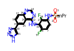 CCCS(=O)(=O)Nc1ccc(F)c(Nc2ncnc3ccc(-c4c[nH]nn4)cc23)c1F